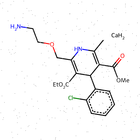 CCOC(=O)C1=C(COCCN)NC(C)=C(C(=O)OC)C1c1ccccc1Cl.[CaH2]